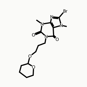 Cn1c(Br)nc2c1c(=O)n(CCCOC1CCCCO1)c(=O)n2C